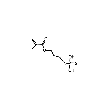 C=C(C)C(=O)OCCCSP(O)(O)=S